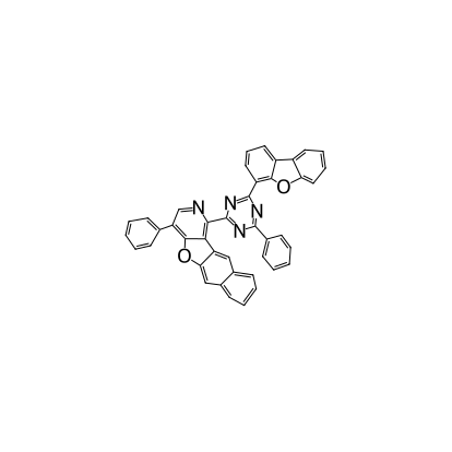 c1ccc(-c2nc(-c3cccc4c3oc3ccccc34)nc(-c3ncc(-c4ccccc4)c4oc5cc6ccccc6cc5c34)n2)cc1